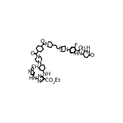 CCOC(=O)c1cnc(Nc2cnn(C)c2)nc1NC1CCC(N2CCN(C(=O)C3CCC(C(=O)N4CCC(CCN5CCN(c6ccc(C(=O)NC7CCC(=O)NC7=O)c(F)c6)CC5)CC4)CC3)CC2)CC1